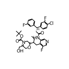 CCC(Cc1c(F)cncc1NC(=O)C[C@H](c1cccc(F)c1)c1ccc(Cl)c(F)c1)[C@@H]1CN(C(=O)OC(C)(C)C)[C@H](CO)CO1